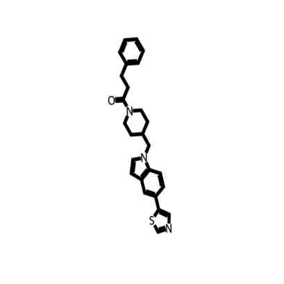 O=C(CCc1ccccc1)N1CCC(Cn2ccc3cc(-c4cncs4)ccc32)CC1